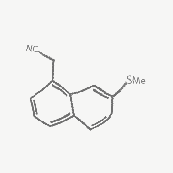 CSc1ccc2cccc(CC#N)c2c1